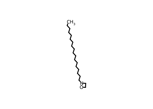 CCCCCCCCCCCCCCCCCCN1CCO1